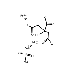 O.O=C([O-])CC(O)(CC(=O)[O-])C(=O)[O-].O=P([O-])(O)O.[Fe+3].[NH4+].[Na]